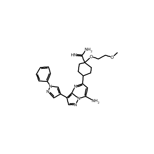 COCCOC1(C(=N)N)CCC(c2cc(N)n3ncc(-c4cnn(-c5ccccc5)c4)c3n2)CC1